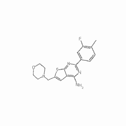 Cc1ccc(-c2nc(N)c3cc(CN4CCOCC4)sc3n2)cc1F